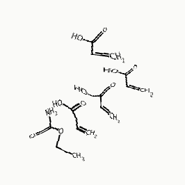 C=CC(=O)O.C=CC(=O)O.C=CC(=O)O.C=CC(=O)O.CCOC(N)=O